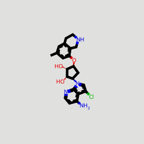 Cc1cc2c(c(O[C@H]3C[C@@H](n4cc(Cl)c5c(N)ccnc54)[C@H](O)[C@@H]3O)c1)CNCC2